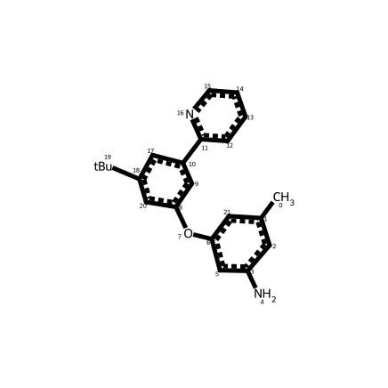 Cc1cc(N)cc(Oc2cc(-c3ccccn3)cc(C(C)(C)C)c2)c1